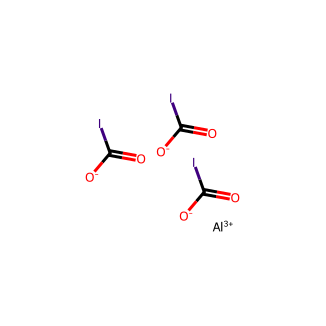 O=C([O-])I.O=C([O-])I.O=C([O-])I.[Al+3]